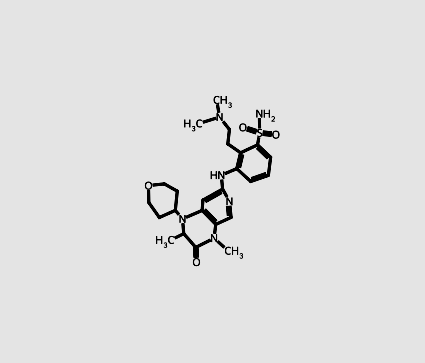 CC1C(=O)N(C)c2cnc(Nc3cccc(S(N)(=O)=O)c3CCN(C)C)cc2N1C1CCOCC1